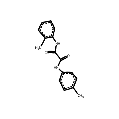 Cc1ccc(NC(=O)C(=O)Nc2ccccc2N)cc1